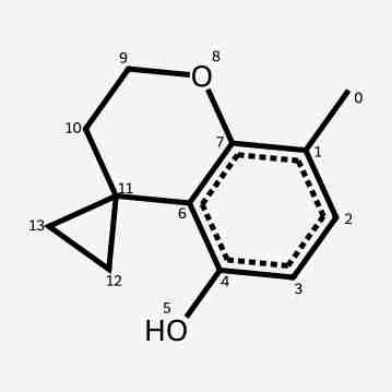 Cc1ccc(O)c2c1OCCC21CC1